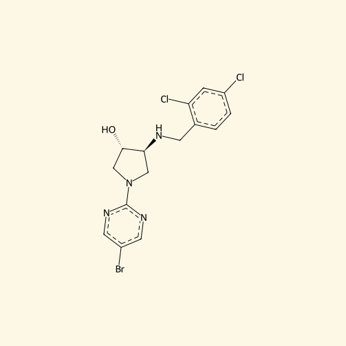 O[C@H]1CN(c2ncc(Br)cn2)C[C@@H]1NCc1ccc(Cl)cc1Cl